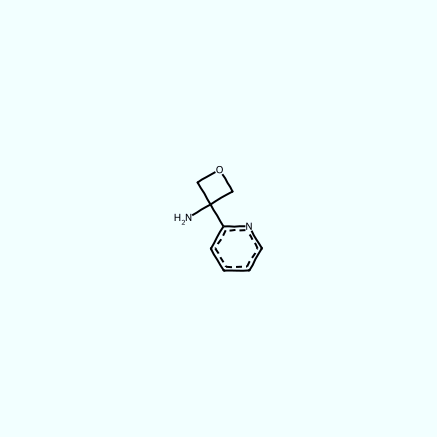 NC1(c2ccccn2)COC1